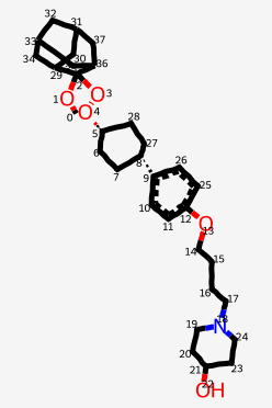 COC1(OO[C@H]2CC[C@@H](c3ccc(OCCCCN4CCC(O)CC4)cc3)CC2)C2CC3CC(C2)CC1C3